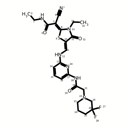 CCNC(=O)C(C#N)=c1sc(=CNc2cccc(NC(=O)CN3CCCC(F)(F)C3)n2)c(=O)n1CC